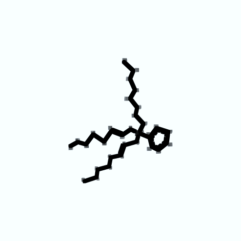 CCCCC/C=C/C[Si](C/C=C/CCCCC)(CCCCCCCC)c1ccccc1